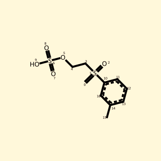 C=S(=O)(CCOS(=O)(=O)O)c1cccc(C)c1